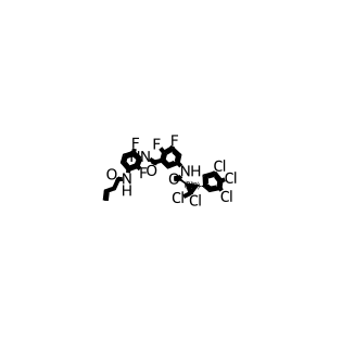 C=CCC(=O)Nc1ccc(F)c(NC(=O)c2cc(NC(=O)[C@H]3[C@H](c4cc(Cl)c(Cl)c(Cl)c4)C3(Cl)Cl)cc(F)c2F)c1F